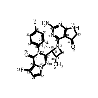 C[C@@H]1CN(c2nc(N)nc3c2C(=O)CN3)[C@]1(C)c1nn2ccc(F)c2c(=O)n1-c1ccc(F)cc1